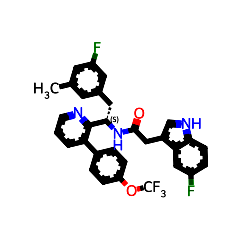 Cc1cc(F)cc(C[C@H](NC(=O)Cc2c[nH]c3ccc(F)cc23)c2ncccc2-c2ccc(OC(F)(F)F)cc2)c1